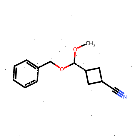 COC(OCc1ccccc1)C1CC(C#N)C1